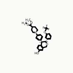 COC(OC)C1CCN(c2ccc([C@H]3c4ccc(O)cc4CO[C@H]3c3cccc(OC(F)(F)F)c3)cc2)CC1